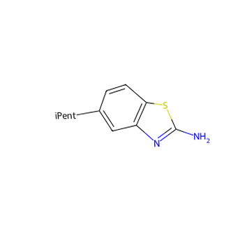 CCCC(C)c1ccc2sc(N)nc2c1